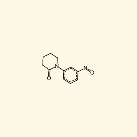 O=Nc1cccc(N2CCCCC2=O)c1